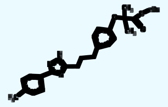 CCCCOC(=O)C(C)(C)Oc1ccc(CCCc2nc(-c3ccc(C(F)(F)F)cc3)n[nH]2)cc1